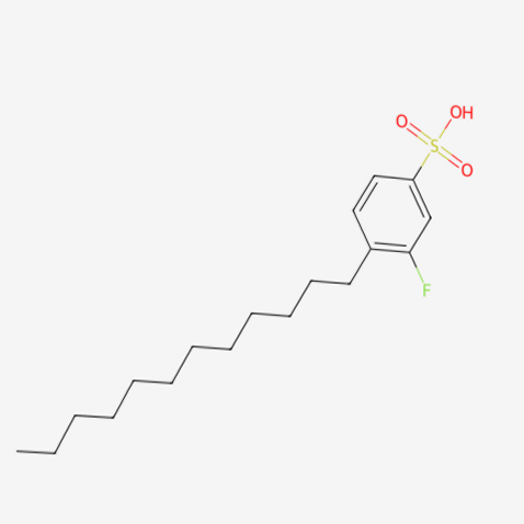 CCCCCCCCCCCCc1ccc(S(=O)(=O)O)cc1F